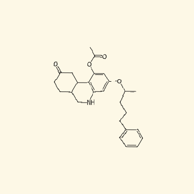 CC(=O)Oc1cc(OC(C)CCCc2ccccc2)cc2c1C1CC(=O)CCC1CN2